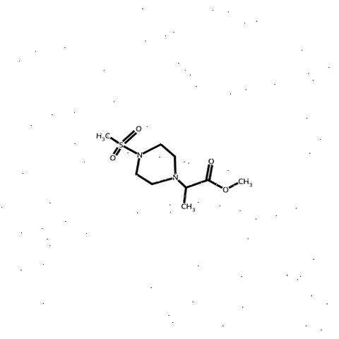 COC(=O)C(C)N1CCN(S(C)(=O)=O)CC1